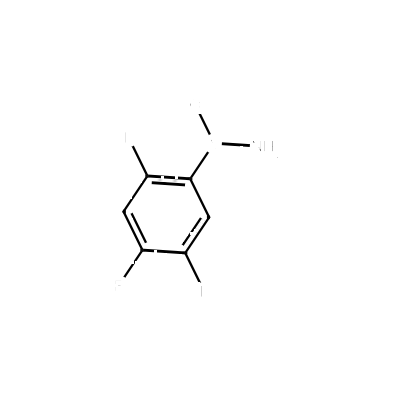 N[S+]([O-])c1cc(F)c(F)cc1F